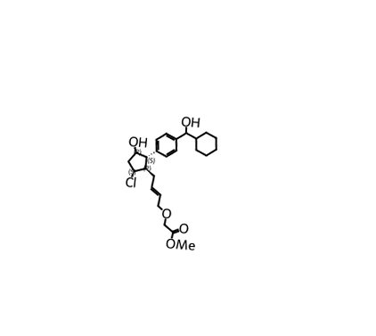 COC(=O)COCC=CC[C@@H]1[C@@H](c2ccc(C(O)C3CCCCC3)cc2)[C@H](O)C[C@@H]1Cl